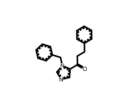 O=C(CCc1ccccc1)c1cncn1Cc1ccccc1